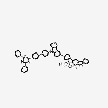 CC1(C)c2cc(-c3ccc4c(c3)c3ccccc3n4-c3ccc(-c4ccc(-c5nc(-c6ccccc6)nc(-c6ccccc6)n5)cc4)cc3)ccc2-c2cc3c(cc21)oc1ccccc13